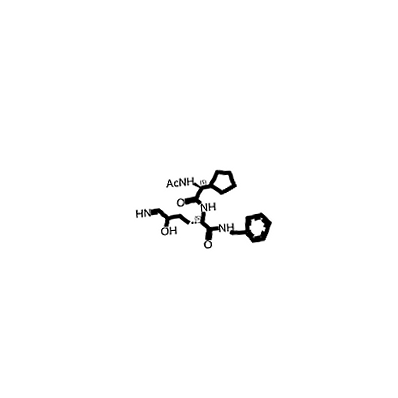 CC(=O)N[C@H](C(=O)N[C@@H](CCC(O)C=N)C(=O)NCc1ccccc1)C1CCCC1